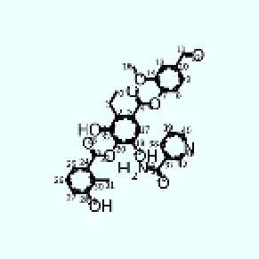 CCc1c(C(=O)Oc2ccc(C=O)cc2OC)cc(O)c(OC(=O)c2cccc(O)c2C)c1O.NC(=O)c1cccnc1